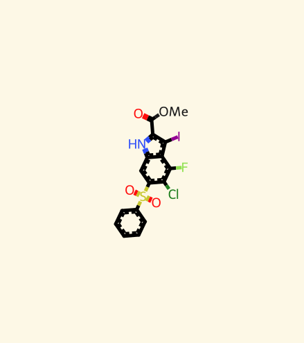 COC(=O)c1[nH]c2cc(S(=O)(=O)c3ccccc3)c(Cl)c(F)c2c1I